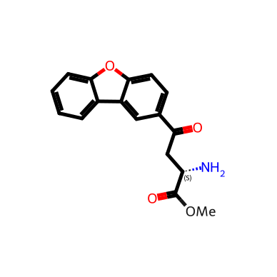 COC(=O)[C@@H](N)CC(=O)c1ccc2oc3ccccc3c2c1